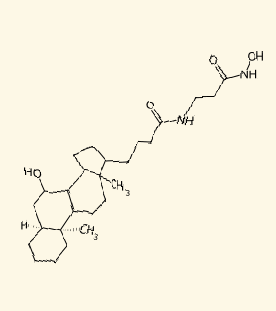 CC12CCC3C(C(O)C[C@@H]4CCCC[C@]34C)C1CCC2CCCC(=O)NCCC(=O)NO